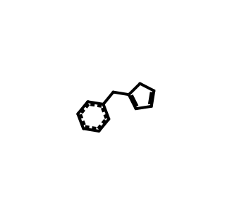 C1=CCC(Cc2ccccc2)=C1